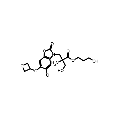 NC(CO)(Cn1c(=O)oc2cc(OC3COC3)c(Cl)cc21)C(=O)OCCCO